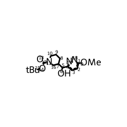 COc1ccc(C(O)C2CCCN(C(=O)OC(C)(C)C)C2)nn1